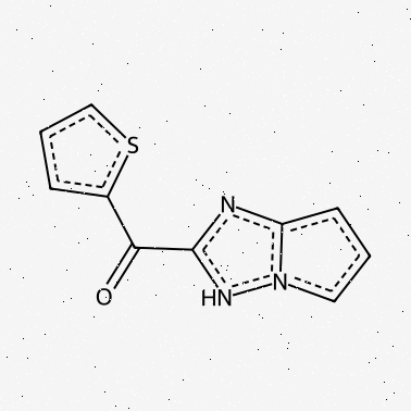 O=C(c1nc2cccn2[nH]1)c1cccs1